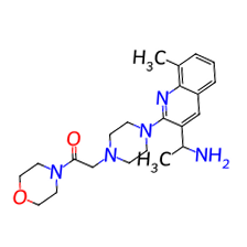 Cc1cccc2cc(C(C)N)c(N3CCN(CC(=O)N4CCOCC4)CC3)nc12